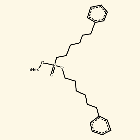 CCCCCCOP(=O)(CCCCCCc1ccccc1)OCCCCCCc1ccccc1